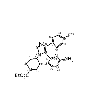 CCOC(=O)N1CCC(n2cnc(-c3ccc(F)cc3)c2-c2ccnc(N)n2)CC1